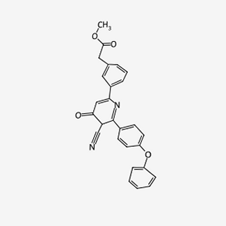 COC(=O)Cc1cccc(C2=CC(=O)C(C#N)C(c3ccc(Oc4ccccc4)cc3)=N2)c1